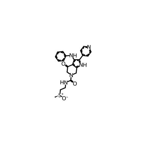 C[S@+]([O-])CCNC(=O)N1CC(=O)c2c([nH]c(-c3ccncc3)c2Nc2ccccc2)C1